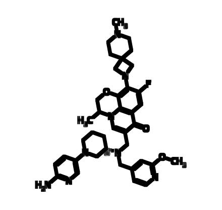 COc1cc(CN(Cc2cn3c4c(c(N5CC6(CCN(C)CC6)C5)c(F)cc4c2=O)OCC3C)[C@H]2CCCN(c3ccc(N)nc3)C2)ccn1